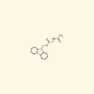 CC(=O)N[CH]C(=O)OCC1c2ccccc2-c2ccccc21